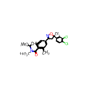 [CH2]C(OC)N(C(=O)O)C(=O)c1ccc(C2=NOC(c3ccc(Cl)c(Cl)c3)(C(F)(F)F)C2)cc1C